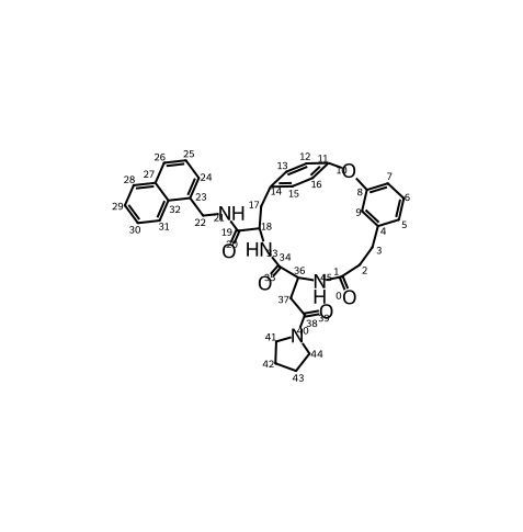 O=C1CCc2cccc(c2)Oc2ccc(cc2)CC(C(=O)NCc2cccc3ccccc23)NC(=O)C(CC(=O)N2CCCC2)N1